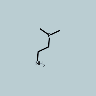 CP(C)CCN